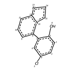 Oc1ccc(Cl)cc1-c1cccc2nccn12